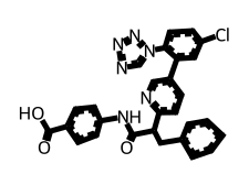 O=C(O)c1ccc(NC(=O)C(Cc2ccccc2)c2ccc(-c3cc(Cl)ccc3-n3cnnn3)cn2)cc1